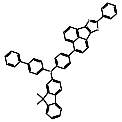 CC1(C)c2ccccc2-c2ccc(N(c3ccc(-c4ccccc4)cc3)c3ccc(-c4ccc5c6c(cccc46)-c4nc(-c6ccccc6)sc4-5)cc3)cc21